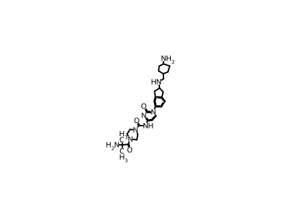 CC(C)(N)C(=O)N1CCN(C(=O)Nc2ccn(-c3ccc4c(c3)CC(NCC3CCC(N)CC3)C4)c(=O)n2)CC1